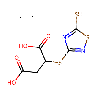 O=C(O)CC(Sc1nsc(S)n1)C(=O)O